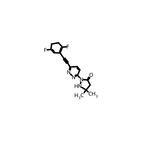 CC1(C)CC(=O)N(c2ccc(C#CC3=C(F)CCC(F)=C3)nn2)N1